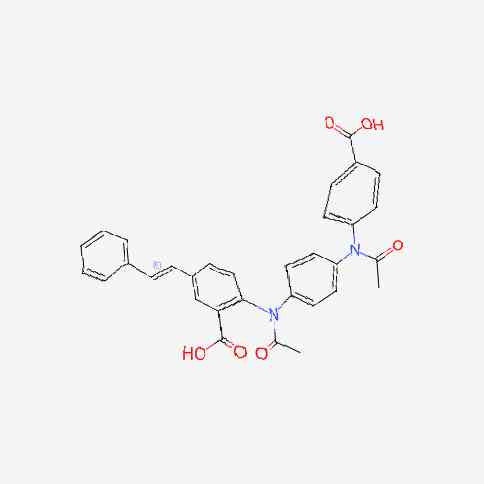 CC(=O)N(c1ccc(C(=O)O)cc1)c1ccc(N(C(C)=O)c2ccc(/C=C/c3ccccc3)cc2C(=O)O)cc1